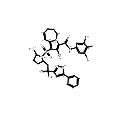 CC1CCC(CC(C)(O)c2cc(-c3ccccc3)on2)N1S(=O)(=O)c1c(Cl)c(C(=O)Nc2cc(F)c(F)c(F)c2)n2c1C=CCCC2